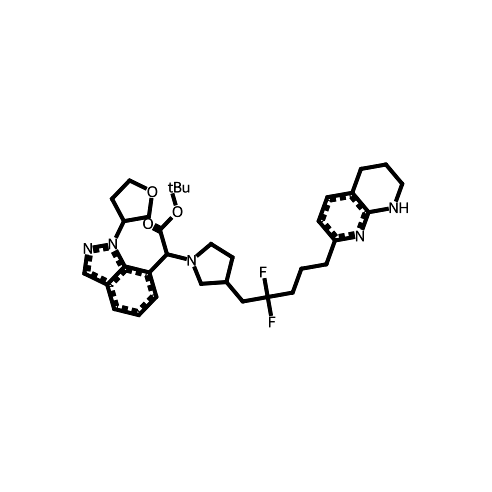 CC(C)(C)OC(=O)C(c1cccc2cnn(C3CCOC3)c12)N1CCC(CC(F)(F)CCCc2ccc3c(n2)NCCC3)C1